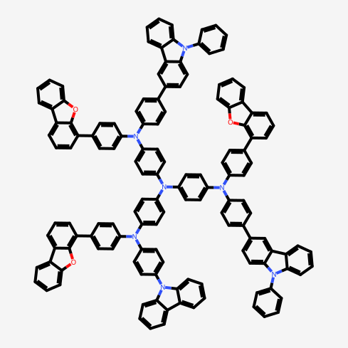 c1ccc(-n2c3ccccc3c3cc(-c4ccc(N(c5ccc(-c6cccc7c6oc6ccccc67)cc5)c5ccc(N(c6ccc(N(c7ccc(-c8ccc9c(c8)c8ccccc8n9-c8ccccc8)cc7)c7ccc(-c8cccc9c8oc8ccccc89)cc7)cc6)c6ccc(N(c7ccc(-c8cccc9c8oc8ccccc89)cc7)c7ccc(-n8c9ccccc9c9ccccc98)cc7)cc6)cc5)cc4)ccc32)cc1